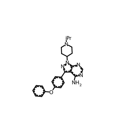 CC(C)N1CCC(n2nc(-c3ccc(Oc4ccccc4)cc3)c3c(N)ncnc32)CC1